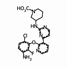 Nc1ccc(Cl)c(Oc2ncccc2-c2ccnc(NC3CCCN(C(=O)O)C3)n2)c1F